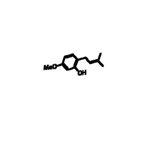 COc1ccc(CC=C(C)C)c(O)c1